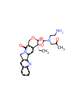 CC[C@@]1(OC(=O)N(CCN)CC(C)=O)C(=O)OCc2c1cc1n(c2=O)Cc2cc3ccccc3nc2-1